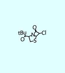 CC(C)(C)C(=O)C1CSC2C(Cl)C(=O)N12